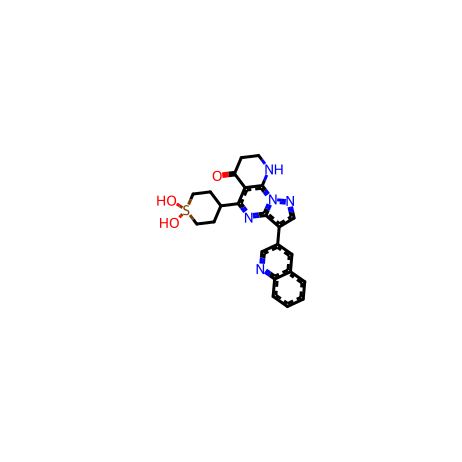 O=C1CCNc2c1c(C1CCS(O)(O)CC1)nc1c(-c3cnc4ccccc4c3)cnn21